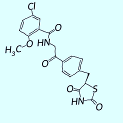 COc1ccc(Cl)cc1C(=O)NCC(=O)c1ccc(C[C@H]2SC(=O)NC2=O)cc1